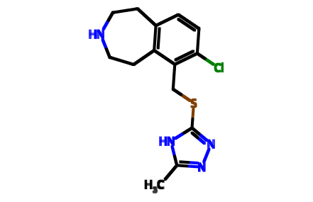 Cc1nnc(SCc2c(Cl)ccc3c2CCNCC3)[nH]1